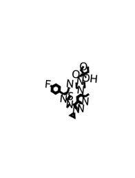 Cc1nc2nn(C3CC3)c(N(C)c3nc(-c4ccc(F)cc4)c(C#N)s3)c2cc1N1CCN(C(=O)[C@@]2(O)CCOC2)CC1